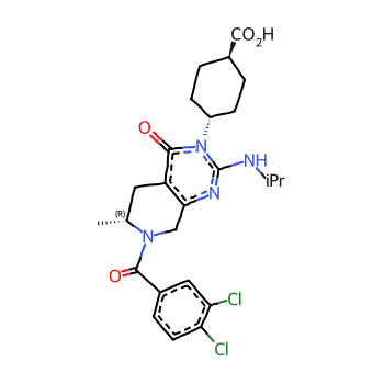 CC(C)Nc1nc2c(c(=O)n1[C@H]1CC[C@H](C(=O)O)CC1)C[C@@H](C)N(C(=O)c1ccc(Cl)c(Cl)c1)C2